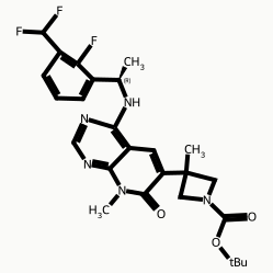 C[C@@H](Nc1ncnc2c1cc(C1(C)CN(C(=O)OC(C)(C)C)C1)c(=O)n2C)c1cccc(C(F)F)c1F